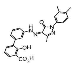 CC1=NN(c2ccc(C)c(C)c2)C(=O)/C1=N\Nc1cccc(-c2cccc(C(=O)O)c2O)c1